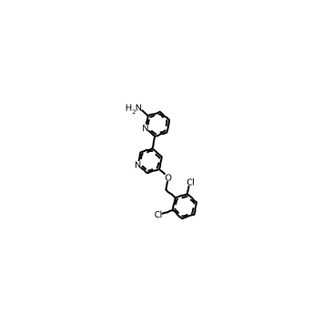 Nc1cccc(-c2cncc(OCc3c(Cl)cccc3Cl)c2)n1